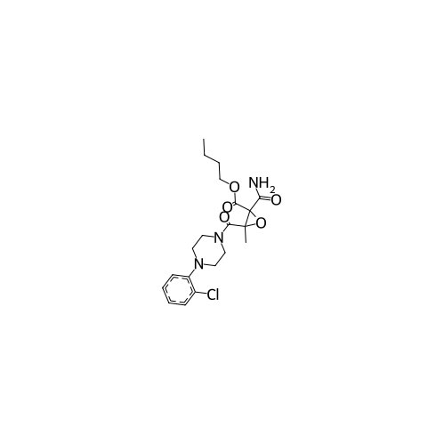 CCCCOC(=O)C1(C(N)=O)OC1(C)C(=O)N1CCN(c2ccccc2Cl)CC1